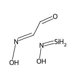 O=CC=NO.ON=[SiH2]